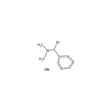 Br.CCC(c1ccccc1)N(C)C